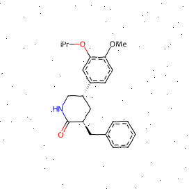 COc1ccc([C@H]2CNC(=O)[C@H](Cc3ccccc3)C2)cc1OC(C)C